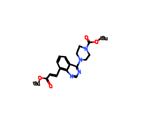 CC(C)(C)OC(=O)/C=C/c1cccc2c(N3CCN(C(=O)OC(C)(C)C)CC3)ncnc12